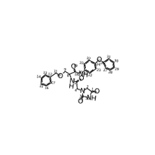 O=C1CN(CC(=O)NC(COCc2ccccc2)C(=O)Nc2ccc(Oc3ccccc3)cc2)C(=O)N1